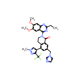 CCc1nc(N2CCc3c(cc(Cn4ccnc4)cc3-c3cn(C)nc3C(F)(F)F)C2=O)c2cc(OC)c(OC)cc2n1